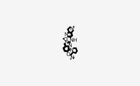 COc1nc2c(cc1Nc1ncc3cccc(N4CCCCC4C(=O)N(C)C)c3n1)CN(C)CC2